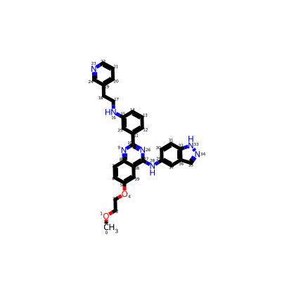 COCCOc1ccc2nc(-c3cccc(NCCc4cccnc4)c3)nc(Nc3ccc4[nH]ncc4c3)c2c1